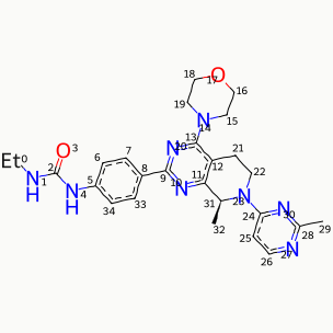 CCNC(=O)Nc1ccc(-c2nc3c(c(N4CCOCC4)n2)CCN(c2ccnc(C)n2)[C@H]3C)cc1